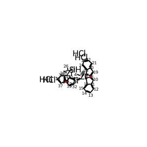 Cl.Cl.Cl.Cl.[CH3][Zr]([CH3])(=[SiH2])([CH]1C=Cc2ccccc21)[CH]1C=Cc2ccccc21.[CH3][Zr]([CH3])(=[SiH2])([C]1=CC=CC1)[C]1=CC=CC1